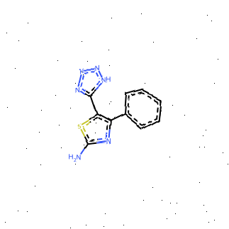 Nc1nc(-c2ccccc2)c(-c2nnn[nH]2)s1